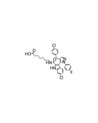 O=C(O)CCCCCCNC(=O)c1[nH]c2cc(Cl)ccc2c1-c1c(Cc2ccc(Cl)cc2)cnn1-c1ccc(F)cc1